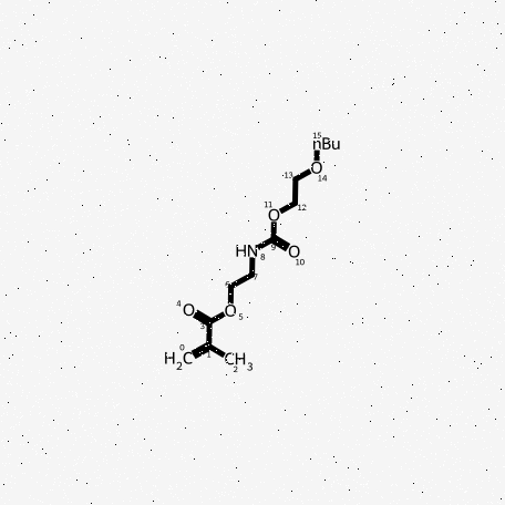 C=C(C)C(=O)OCCNC(=O)OCCOCCCC